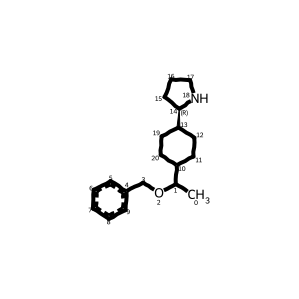 CC(OCc1ccccc1)C1CCC([C@H]2CCCN2)CC1